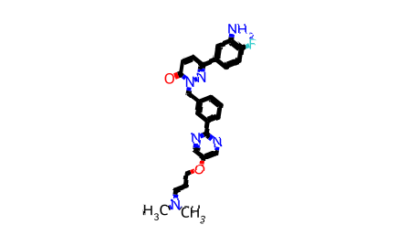 CN(C)CCCOc1cnc(-c2cccc(Cn3nc(-c4ccc(F)c(N)c4)ccc3=O)c2)nc1